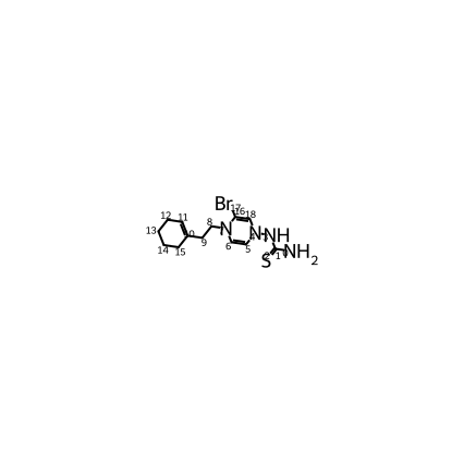 NC(=S)NN1C=CN(CCC2=CCCCC2)C(Br)=C1